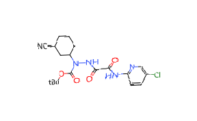 CC(C)(C)OC(=O)N(NC(=O)C(=O)Nc1ccc(Cl)cn1)C1CCC[C@H](C#N)C1